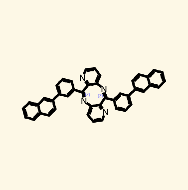 c1cc(/C2=N/c3cccnc3/C(c3cccc(-c4ccc5ccccc5c4)c3)=N\c3cccnc32)cc(-c2ccc3ccccc3c2)c1